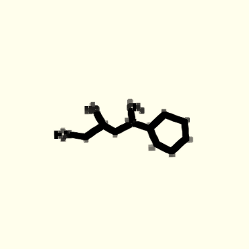 CN(CC(O)CN)C1CCCCC1